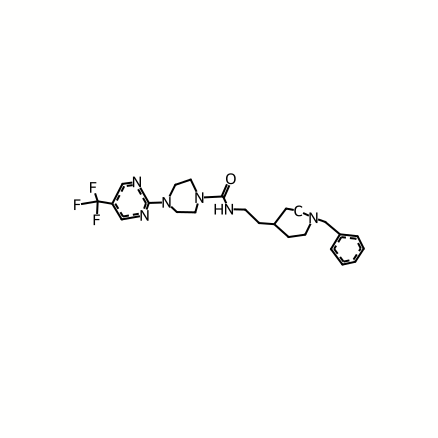 O=C(NCCC1CCN(Cc2ccccc2)CC1)N1CCN(c2ncc(C(F)(F)F)cn2)CC1